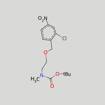 CN(CCOCc1ccc([N+](=O)[O-])cc1Cl)C(=O)OC(C)(C)C